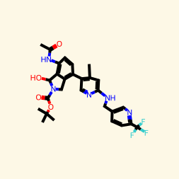 CC(=O)Nc1ccc(-c2cnc(NCc3ccc(C(F)(F)F)nc3)cc2C)c2c1C(O)N(C(=O)OC(C)(C)C)C2